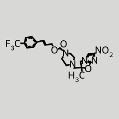 CC1(CN2CCN(C(=O)OCC=Cc3ccc(C(F)(F)F)cc3)CC2)Cn2cc([N+](=O)[O-])nc2O1